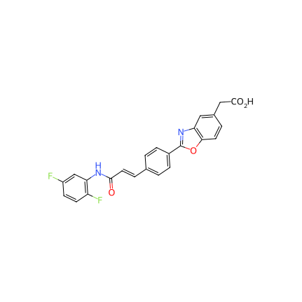 O=C(O)Cc1ccc2oc(-c3ccc(C=CC(=O)Nc4cc(F)ccc4F)cc3)nc2c1